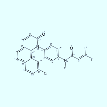 CC(C)=CC(=O)N(C)c1ccc(-n2c(=O)ccc3cnc4ccc(C)cc4c32)cc1